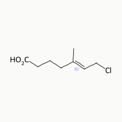 C/C(=C\CCl)CCCC(=O)O